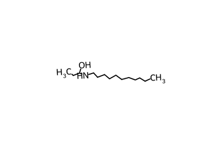 CCCCCCCCCCCNC(O)CC